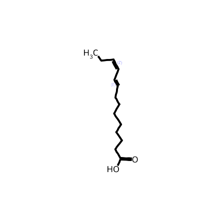 CC/C=C\C=C\CCCCCCCC(=O)O